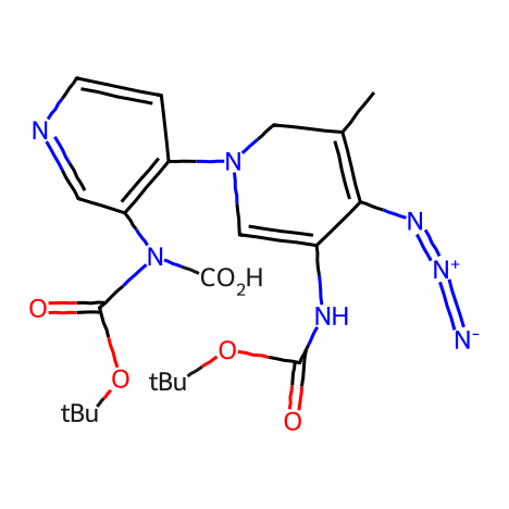 CC1=C(N=[N+]=[N-])C(NC(=O)OC(C)(C)C)=CN(c2ccncc2N(C(=O)O)C(=O)OC(C)(C)C)C1